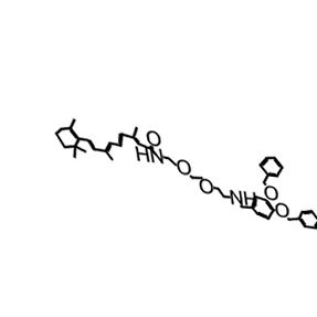 CC(C=CC1=C(C)CCCC1(C)C)=CC=CC(C)=CC(=O)NCCOCCOCCNCc1ccc(OCc2ccccc2)c(OCc2ccccc2)c1